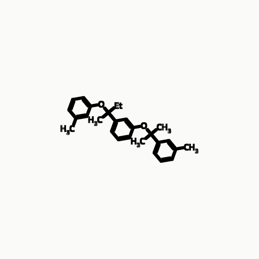 CCC(C)(Oc1cccc(C)c1)c1cccc(OC(C)(C)c2cccc(C)c2)c1